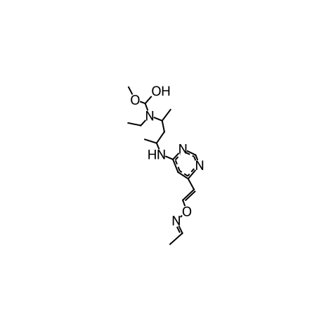 C/C=N/O/C=C/c1cc(NC(C)CC(C)N(CC)C(O)OC)ncn1